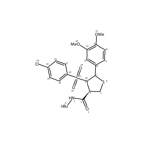 CCCCNC(=O)[C@@H]1CSC(c2ccc(OC)c(OC)c2)N1S(=O)(=O)c1ccc(Cl)cc1